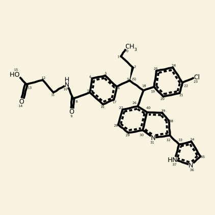 CCC[C@H](c1ccc(C(=O)NCCC(=O)O)cc1)C(c1ccc(Cl)cc1)c1cccc2nc(-c3ccn[nH]3)ccc12